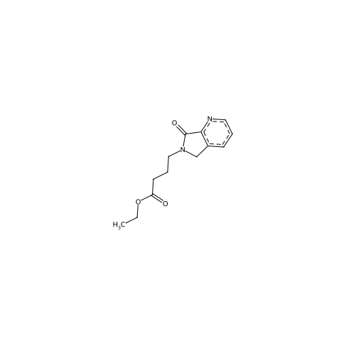 CCOC(=O)CCCN1Cc2cccnc2C1=O